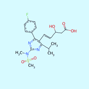 CC(C)c1nc(N(C)S(C)(=O)=O)nc(-c2ccc(F)cc2)c1C=CC(O)CC(=O)O